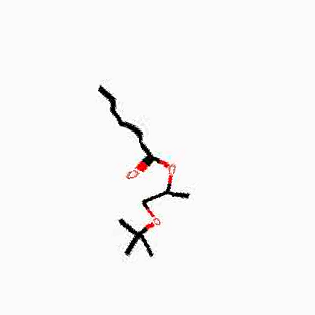 CCCCC(=O)OC(C)COC(C)(C)C